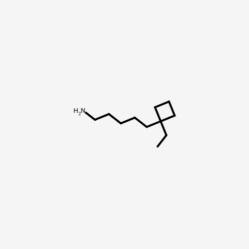 CCC1(CCCCCN)CCC1